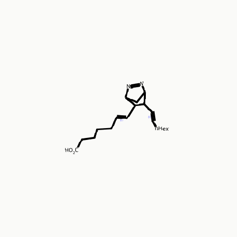 CCCCCC/C=C/C1C2CC(N=N2)C1/C=C/CCCCC(=O)O